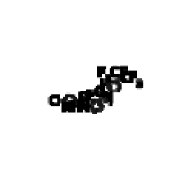 O=C(Nc1cccc(C(=O)N(I)c2ccc(C(F)(C(F)(F)F)C(F)(F)F)cc2I)c1F)c1ccc(Cl)nc1